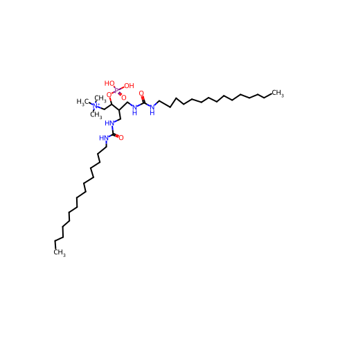 CCCCCCCCCCCCCCCNC(=O)NCC(CNC(=O)NCCCCCCCCCCCCCCC)C(C[N+](C)(C)C)OP(=O)(O)O